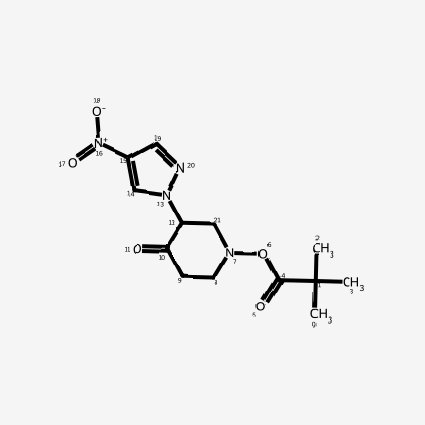 CC(C)(C)C(=O)ON1CCC(=O)C(n2cc([N+](=O)[O-])cn2)C1